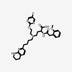 COc1ccccc1CC(=O)NC(CCN(CCCCc1ccc2c(n1)NCCC2)CCOc1ncc(F)cn1)C(=O)O